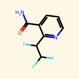 NC(=O)c1cccnc1C(F)C(F)F